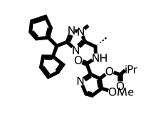 COc1ccnc(C(=O)N[C@@H](C)c2nc(C(c3ccccc3)c3ccccc3)nn2C)c1OC(=O)C(C)C